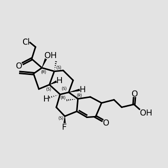 C=C1C[C@H]2[C@@H]3C[C@H](F)C4=CC(=O)C(CCC(=O)O)C[C@]4(C)[C@H]3CC[C@]2(C)[C@@]1(O)C(=O)CCl